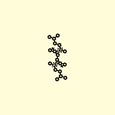 CC1(C)c2ccccc2-c2cc3c4cc(-c5ccc6c(c5)c5cc7c(cc5n6-c5nc(-c6ccccc6)nc(-c6cccc(-c8cccc(-c9cc(-c%10ccccc%10)cc(-c%10ccccc%10)c9)c8)c6)n5)C(C)(C)c5ccccc5-7)ccc4n(-c4nc(-c5ccccc5)nc(-c5cccc(-c6cccc(-c7cc(-c8ccccc8)cc(-c8ccccc8)c7)c6)c5)n4)c3cc21